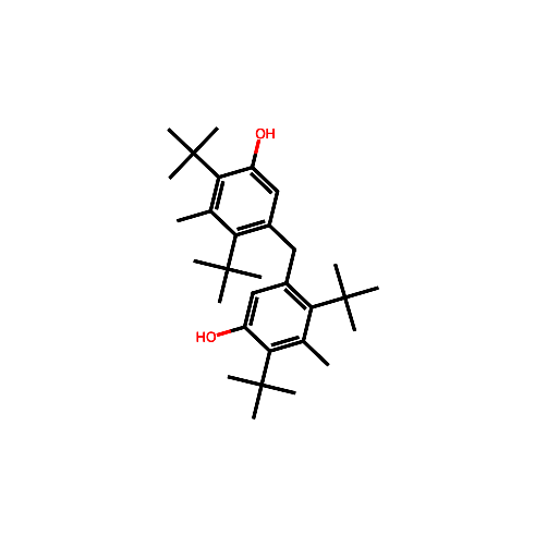 Cc1c(C(C)(C)C)c(O)cc(Cc2cc(O)c(C(C)(C)C)c(C)c2C(C)(C)C)c1C(C)(C)C